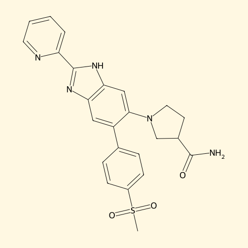 CS(=O)(=O)c1ccc(-c2cc3nc(-c4ccccn4)[nH]c3cc2N2CCC(C(N)=O)C2)cc1